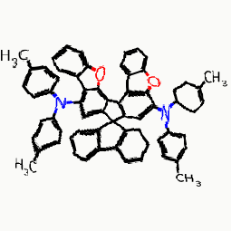 CC1=CCC(N(c2ccc(C)cc2)c2cc3c(c4c2oc2ccccc24)-c2c(cc(N(c4ccc(C)cc4)c4ccc(C)cc4)c4c2oc2ccccc24)C32C3=C(CCCC3)c3ccccc32)CC1